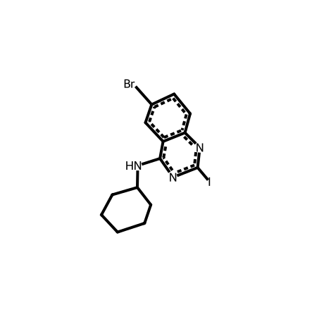 Brc1ccc2nc(I)nc(NC3CCCCC3)c2c1